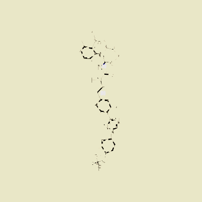 Cc1cccc(N2/C(=N/C(=O)N/C=C/c3ccc(-c4ncn(-c5ccc(OC(F)(F)F)cc5)n4)cc3)SCCC2C)c1C(C)C